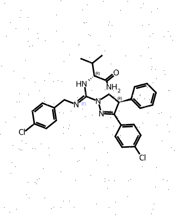 CC(C)[C@@H](N/C(=N\Cc1ccc(Cl)cc1)N1C[C@@H](c2ccccc2)C(c2ccc(Cl)cc2)=N1)C(N)=O